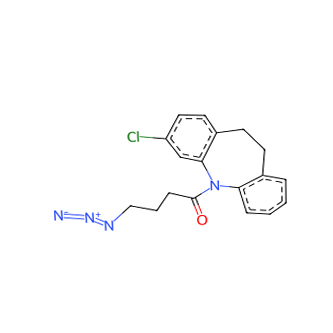 [N-]=[N+]=NCCCC(=O)N1c2ccccc2CCc2ccc(Cl)cc21